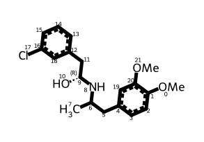 COc1ccc(CC(C)N[C@H](O)Cc2cccc(Cl)c2)cc1OC